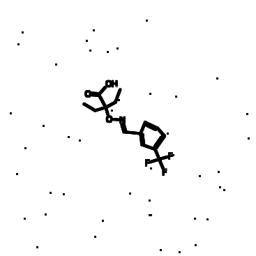 CCC(CC)(ON=Cc1cccc(C(F)(F)F)c1)C(=O)O